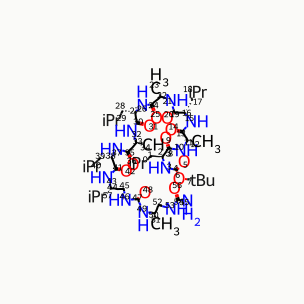 CC(C)C[C@H](NC(=O)OC(C)(C)C)C(=O)N[C@@H](C)C(=O)N[C@@H](CC(C)C)C(=O)N[C@@H](C)C(=O)N[C@@H](CC(C)C)C(=O)N[C@@H](C)C(=O)N[C@@H](CC(C)C)C(=O)N[C@H](CNC(=O)N[C@@H](C)CNC(N)=O)C(C)C